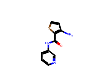 Nc1ccsc1C(=O)Nc1cccnc1